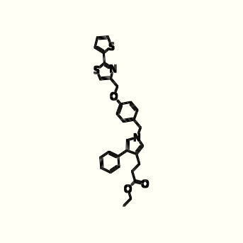 CCOC(=O)CCc1cn(Cc2ccc(OCc3csc(-c4cccs4)n3)cc2)cc1-c1ccccc1